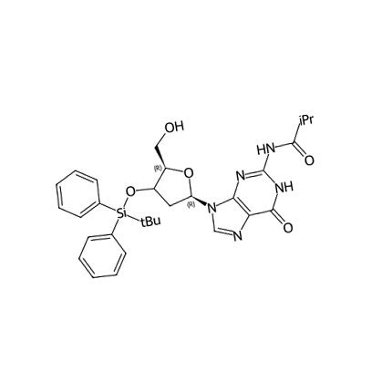 CC(C)C(=O)Nc1nc2c(ncn2[C@H]2CC(O[Si](c3ccccc3)(c3ccccc3)C(C)(C)C)[C@@H](CO)O2)c(=O)[nH]1